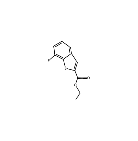 CCOC(=O)c1cc2cccc(F)c2s1